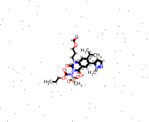 CCCOC(=O)N(n1c(=O)c2cc(-c3ccnn3C)c(C(C)C)cc2n(CCCOC=O)c1=O)S(C)(=O)=O